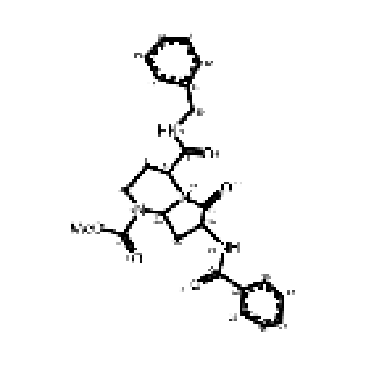 COC(=O)N1CCC(C(=O)NCc2ccccc2)N2C(=O)C(NC(=O)c3ccccc3)CC12